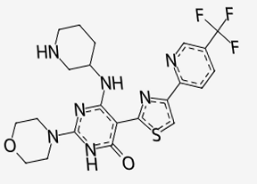 O=c1[nH]c(N2CCOCC2)nc(NC2CCCNC2)c1-c1nc(-c2ccc(C(F)(F)F)cn2)cs1